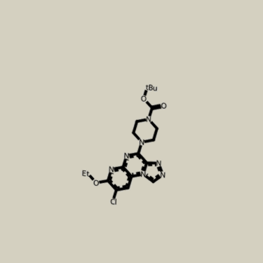 CCOc1nc2nc(N3CCN(C(=O)OC(C)(C)C)CC3)c3nncn3c2cc1Cl